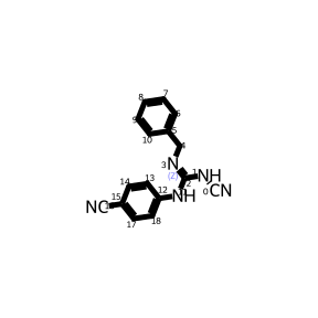 N#CN/C(=N\Cc1ccccc1)Nc1ccc(C#N)cc1